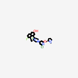 C#Cc1c(F)ccc2cc(O)cc(C3CC4CN(c5cc(Cl)nc(OC[C@@H]6CCCN6C)c5)CC3N4F)c12